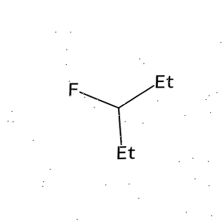 [CH2]CC(F)CC